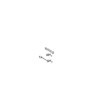 [AlH3].[O]=[Ti].[SiH3][Ta]